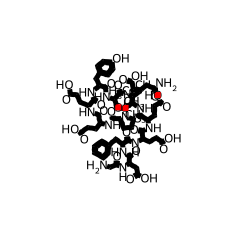 CCC(C)C(NC(=O)C(CCC(=O)O)NC(=O)C(CCC(=O)O)NC(=O)C(Cc1ccccc1)NC(=O)C(CC(=O)O)NC(=O)CN)C(=O)N1CCCC1C(=O)NC(CCC(=O)O)C(=O)NC(CCC(=O)O)C(=O)NC(Cc1ccc(O)cc1)C(=O)NC(CC(C)C)C(=O)NC(CCC(N)=O)C(=O)O